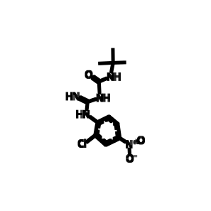 CC(C)(C)NC(=O)NC(=N)Nc1ccc([N+](=O)[O-])cc1Cl